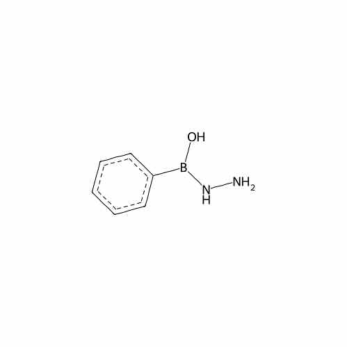 NNB(O)c1ccccc1